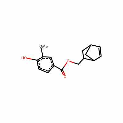 COc1cc(C(=O)OCC2CC3C=CC2C3)ccc1O